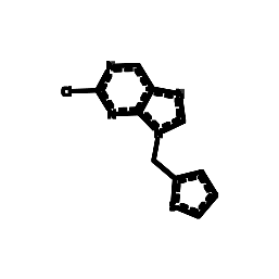 Clc1ncc2ncn(Cc3cccs3)c2n1